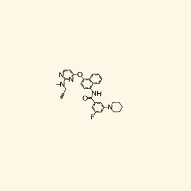 C#CCN(C)c1nccc(Oc2ccc(NC(=O)c3cc(F)cc(N4CCCCC4)c3)c3ccccc23)n1